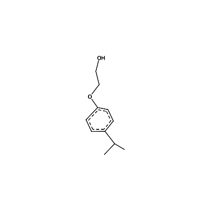 CC(C)c1ccc(OCCO)cc1